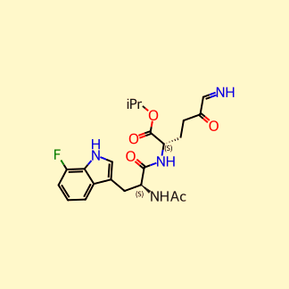 CC(=O)N[C@@H](Cc1c[nH]c2c(F)cccc12)C(=O)N[C@@H](CCC(=O)C=N)C(=O)OC(C)C